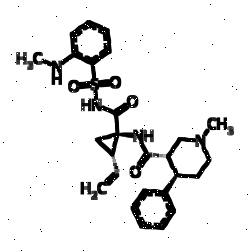 C=C[C@@H]1C[C@]1(NC(=O)[C@@H]1CN(C)CC[C@H]1c1ccccc1)C(=O)NS(=O)(=O)c1ccccc1NC